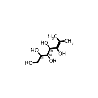 CC(C)=C(O)[C@H](O)[C@@H](O)[C@H](O)CO